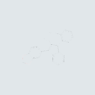 COc1ccccc1C1C(C(=O)O)=C(c2ccc3c(c2)OCO3)c2ccccc21